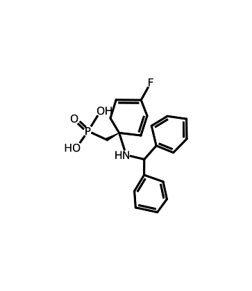 O=P(O)(O)C[C@]1(NC(c2ccccc2)c2ccccc2)C=CC(F)=CC1